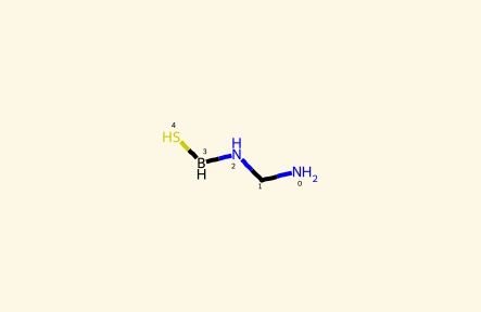 NCNBS